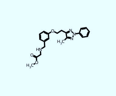 COC(=O)CNCc1cccc(OCCc2nn(-c3ccccc3)nc2C)c1